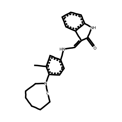 Cc1cc(N/C=C2/C(=O)Nc3ccccc32)ccc1N1CCCCCCC1